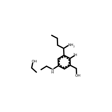 CCO.[3H]c1c(CO)cc(NCC)cc1C(N)CCC